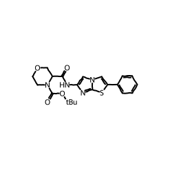 CC(C)(C)OC(=O)N1CCOCC1C(=O)Nc1cn2cc(-c3ccccc3)sc2n1